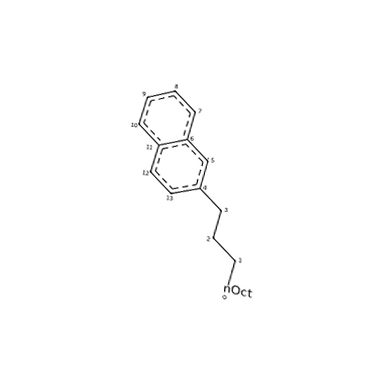 CCCCCCCCCCCc1[c]c2ccccc2cc1